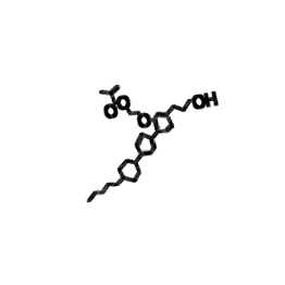 C=C(C)C(=O)OCCOc1cc(CCCO)ccc1-c1ccc(C2CCC(CCCCC)CC2)cc1